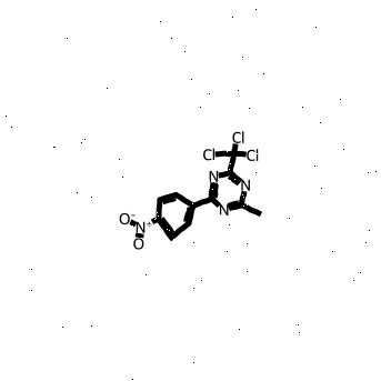 Cc1nc(-c2ccc([N+](=O)[O-])cc2)nc(C(Cl)(Cl)Cl)n1